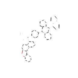 CC1(C)c2ccc(-c3c4ccccc4c(C4=CC=CC5C=CC=CC45)c4ccccc34)cc2-c2ccc3c(ccc4oc5ccccc5c43)c21